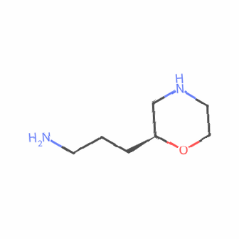 NCCC[C@H]1CNCCO1